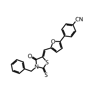 N#Cc1ccc(-c2ccc(/C=C3\SC(=S)N(Cc4ccccc4)C3=O)o2)cc1